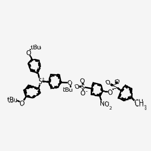 CC(C)(C)Oc1ccc([S+](c2ccc(OC(C)(C)C)cc2)c2ccc(OC(C)(C)C)cc2)cc1.Cc1ccc(S(=O)(=O)Oc2ccc(S(=O)(=O)[O-])cc2[N+](=O)[O-])cc1